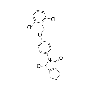 O=C1C2=C(CCC2)C(=O)N1c1ccc(OCc2c(Cl)cccc2Cl)cc1